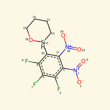 O=[N+]([O-])c1c(F)c(F)c(F)c([SiH]2CCCCO2)c1[N+](=O)[O-]